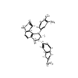 COc1cc([C@@H]2c3c(ccc4[nH]ncc34)N[C@@H](c3ccc4nc(N)sc4c3)[C@H]2C)ccc1O